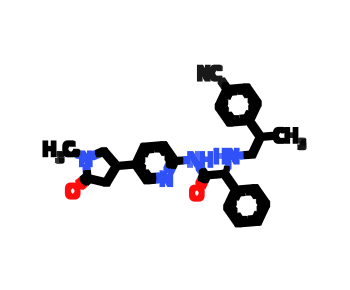 CC(CN[C@@H](C(=O)Nc1ccc(C2CC(=O)N(C)C2)cn1)c1ccccc1)c1ccc(C#N)cc1